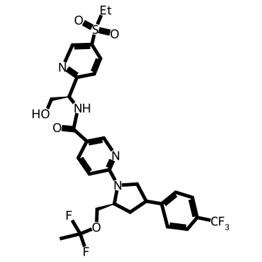 CCS(=O)(=O)c1ccc([C@H](CO)NC(=O)c2ccc(N3CC(c4ccc(C(F)(F)F)cc4)C[C@H]3COC(C)(F)F)nc2)nc1